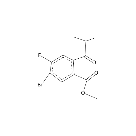 COC(=O)c1cc(Br)c(F)cc1C(=O)C(C)C